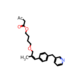 CC(=O)CC(=O)OCCCCOCC(C)=Cc1ccc(Cc2cccnc2)cc1